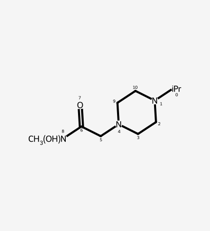 CC(C)N1CCN(CC(=O)N(C)O)CC1